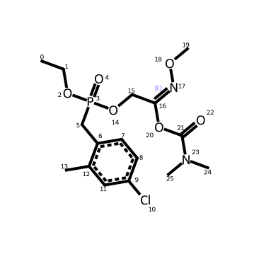 CCOP(=O)(Cc1ccc(Cl)cc1C)OC/C(=N\OC)OC(=O)N(C)C